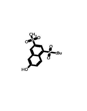 CC(C)(C)S(=O)(=O)c1cc(S(C)(=O)=O)cc2cc(O)ccc12